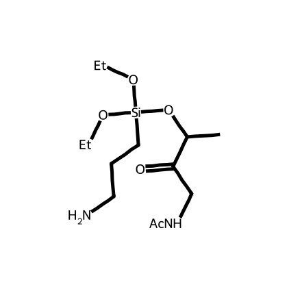 CCO[Si](CCCN)(OCC)OC(C)C(=O)CNC(C)=O